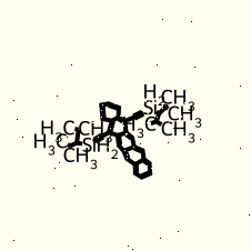 CC(C)C([SiH2]C#Cc1c2ccccc2c(C#C[SiH2]C(C(C)C)C(C)C)c2cc3cc4ccccc4cc3cc12)C(C)C